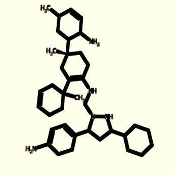 CC1C=CC(N)C([C@]2(C)CCC(NCN3NC(C4CCCCC4)CC3C3=CC=C(N)CC3)=C(C3(C)CC=CCC3)C2)C1